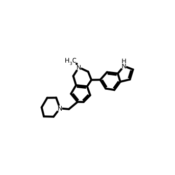 CN1Cc2cc(CN3CCCCC3)ccc2C(c2ccc3cc[nH]c3c2)C1